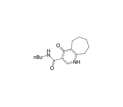 CCCCNC(=O)c1c[nH]c2c(c1=O)CCCCC2